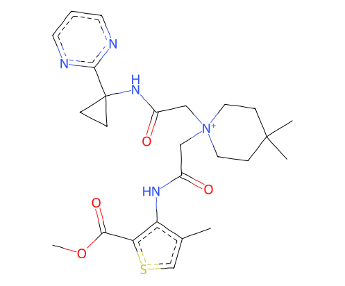 COC(=O)c1scc(C)c1NC(=O)C[N+]1(CC(=O)NC2(c3ncccn3)CC2)CCC(C)(C)CC1